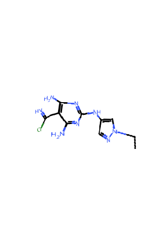 CCn1cc(Nc2nc(N)c(C(=N)Cl)c(N)n2)cn1